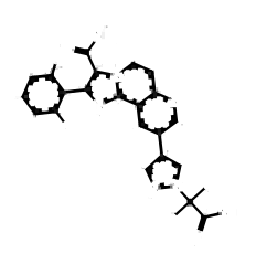 CC(C)(C(N)=O)n1cc(-c2cnc3ccn4c(C(N)=O)c(-c5c(Cl)cccc5Cl)nc4c3c2)cn1